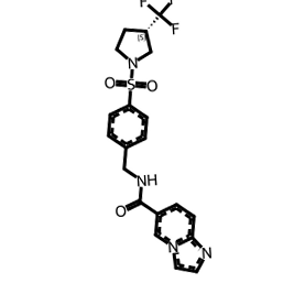 O=C(NCc1ccc(S(=O)(=O)N2CC[C@H](C(F)(F)F)C2)cc1)c1ccc2nccn2c1